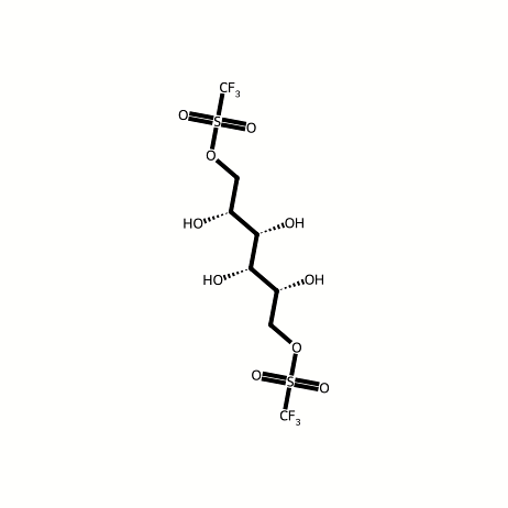 O=S(=O)(OC[C@@H](O)[C@H](O)[C@@H](O)[C@H](O)COS(=O)(=O)C(F)(F)F)C(F)(F)F